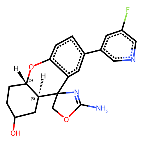 NC1=NC2(CO1)c1cc(-c3cncc(F)c3)ccc1O[C@H]1CCC(O)C[C@@H]12